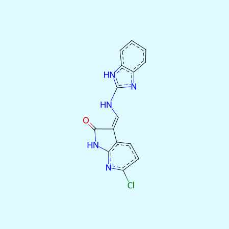 O=C1Nc2nc(Cl)ccc2C1=CNc1nc2ccccc2[nH]1